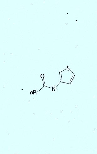 CCCC(=O)[N]c1ccsc1